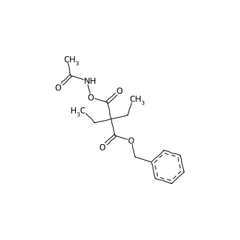 CCC(CC)(C(=O)OCc1ccccc1)C(=O)ONC(C)=O